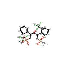 CS(=O)(=O)CC(C(=O)C(CS(C)(=O)=O)c1ccccc1C(F)(F)F)c1ccccc1C(F)(F)F